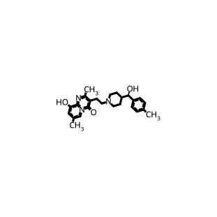 Cc1ccc([C@H](O)C2CCN(CCc3c(C)nc4c(O)cc(C)cn4c3=O)CC2)cc1